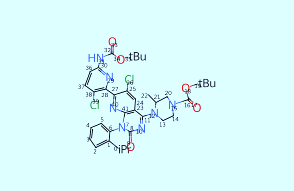 CC(C)c1ccccc1-n1c(=O)nc(N2CCN(C(=O)OC(C)(C)C)CC2C)c2cc(Cl)c(-c3nc(NC(=O)OC(C)(C)C)ccc3Cl)nc21